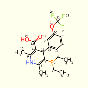 CCP(CC)C1=C(C)NC(C)=C(C(=O)O)C1c1cccc(OC(F)(F)F)c1